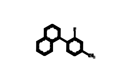 Cc1ccc(-c2cccc3ccccc23)c(F)c1